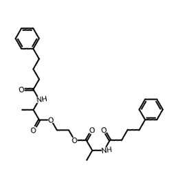 CC(NC(=O)CCCc1ccccc1)C(=O)OCCOC(=O)C(C)NC(=O)CCCc1ccccc1